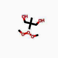 CC(C)(CO)CO.COOOC